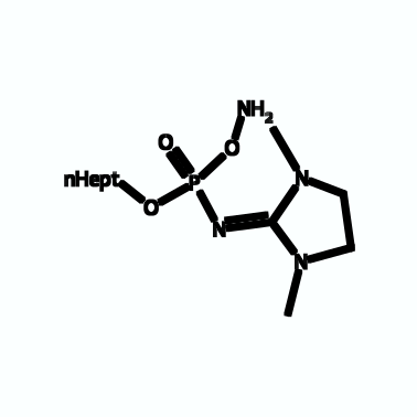 CCCCCCCOP(=O)(N=C1N(C)CCN1C)ON